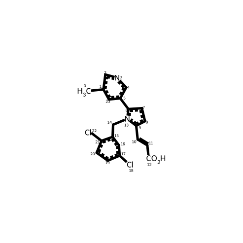 Cc1cncc(-c2ccc(C=CC(=O)O)n2Cc2cc(Cl)ccc2Cl)c1